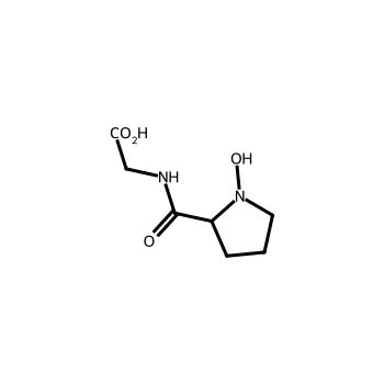 O=C(O)CNC(=O)C1CCCN1O